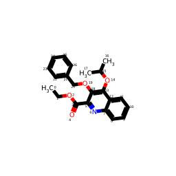 CCOC(=O)c1nc2ccccc2c(OC(C)C)c1OCc1ccccc1